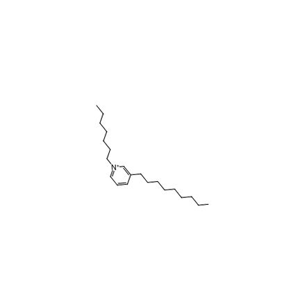 CCCCCCCCCc1ccc[n+](CCCCCCC)c1